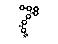 CN(c1ccc(-c2ccc(N(c3cccc(-c4ccccc4)c3)c3cccc4ccccc34)cc2)cc1)c1ccc([N+](=O)[O-])cc1